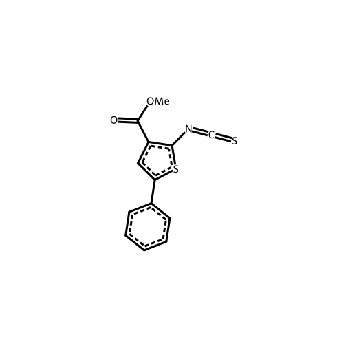 COC(=O)c1cc(-c2ccccc2)sc1N=C=S